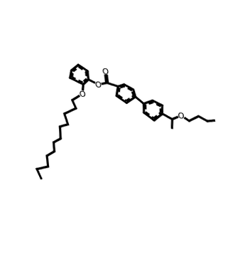 CCCCCCCCCCCCOc1ccccc1OC(=O)c1ccc(-c2ccc(C(C)OCCCC)cc2)cc1